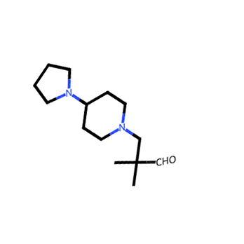 CC(C)(C=O)CN1CCC(N2CCCC2)CC1